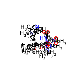 CCc1ccncc1-c1c2c3cc(ccc3n1CC)-c1cc(cc(O[Si](C(C)C)(C(C)C)C(C)C)c1)C[C@H](NC(=O)[C@H](C(C)C)N(C)C(=O)CN(C)C(=O)[C@H]1CN1S(C)(=O)=O)C(=O)N1CCC[C@H](N1)C(=O)OCC(C)(C)C2